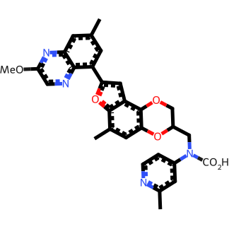 COc1cnc2c(-c3cc4c5c(cc(C)c4o3)OC(CN(C(=O)O)c3ccnc(C)c3)CO5)cc(C)cc2n1